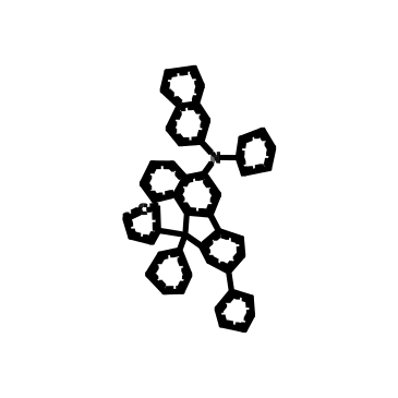 c1ccc(-c2ccc3c(c2)C(c2ccccc2)(c2ccccc2)c2c-3cc(N(c3ccccc3)c3ccc4ccccc4c3)c3ccccc23)cc1